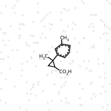 Cc1cccc(C2(C)CC2C(=O)O)c1